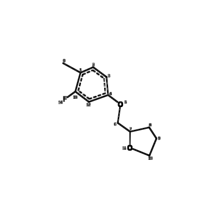 Cc1ccc(OCC2CCCO2)cc1F